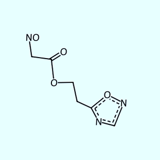 O=NCC(=O)OCCc1ncno1